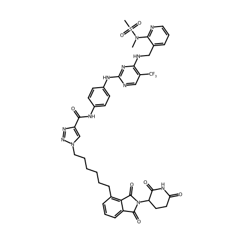 CN(c1ncccc1CNc1nc(Nc2ccc(NC(=O)c3cn(CCCCCCc4cccc5c4C(=O)N(C4CCC(=O)NC4=O)C5=O)nn3)cc2)ncc1C(F)(F)F)S(C)(=O)=O